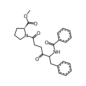 COC(=O)[C@@H]1CCCN1C(=O)CCC(=O)C(Cc1ccccc1)NC(=O)c1ccccc1